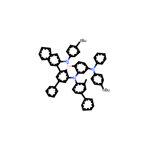 CCCCc1ccc(N(c2ccccc2)c2ccc3c(c2)N(c2ccc(-c4ccccc4)cc2C)c2cc(-c4ccccc4)cc4c2B3N(c2ccc(C(C)(C)C)cc2)c2cc3ccccc3cc2-4)cc1